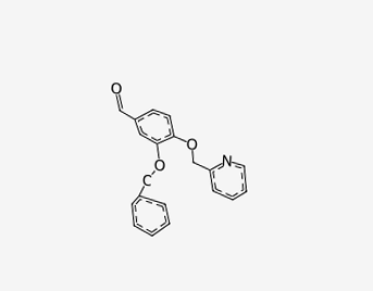 O=Cc1ccc(OCc2ccccn2)c(OCc2ccccc2)c1